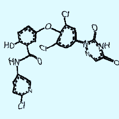 O=C(Nc1ccc(Cl)nc1)c1cc(Oc2c(Cl)cc(-n3ncc(=O)[nH]c3=O)cc2Cl)ccc1O